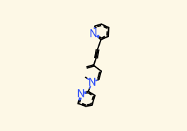 C=C(C#Cc1ccccn1)/C=C\N(C)c1ccccn1